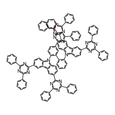 c1ccc(-c2cc(-c3ccccc3)nc(-c3ccc(-n4c5ccc(-c6nc(-c7ccccc7)nc(-c7ccccc7)n6)cc5c5cc(-c6nc(-c7ccccc7)nc(-c7ccccc7)n6)ccc54)c(-c4ccccc4-n4c5ccc(-c6nc(-c7ccccc7)nc(-c7ccccc7)n6)cc5c5cc(-c6nc(-c7ccccc7)nc(-c7ccccc7)n6)ccc54)c3)n2)cc1